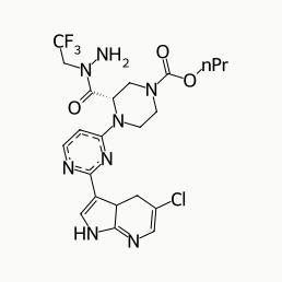 CCCOC(=O)N1CCN(c2ccnc(C3=CNC4=NC=C(Cl)CC34)n2)[C@H](C(=O)N(N)CC(F)(F)F)C1